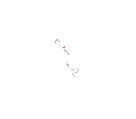 CC(C)(CCC(=O)NCCN1C(=O)C=CC1=O)SSCCC(C)(C)C(=O)OCC1CC(O)C(O)C2NC(=O)C(=O)N12